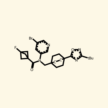 CC(C)(C)c1noc(C23CCC(CN(C(=O)C45CC(F)(C4)C5)c4cncc(Br)c4)(CC2)CC3)n1